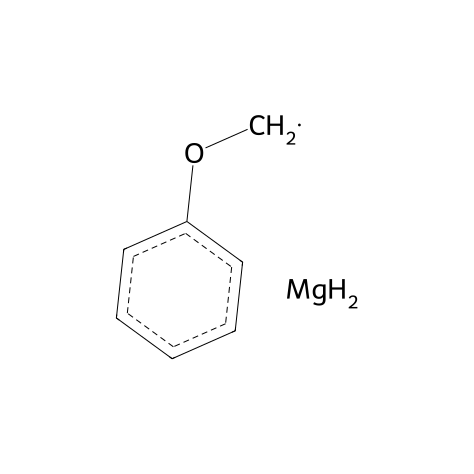 [CH2]Oc1ccccc1.[MgH2]